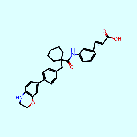 O=C(O)/C=C/c1cccc(NC(=O)C2(Cc3ccc(-c4ccc5c(c4)OCCN5)cc3)CCCCC2)c1